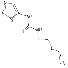 C=CCCCNC(=O)Nc1cnns1